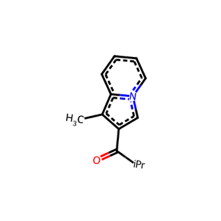 Cc1c(C(=O)C(C)C)cn2ccccc12